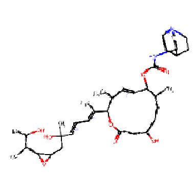 CCC(O)C(C)C1OC1CC(C)(O)/C=C/C=C(\C)C1OC(=O)CC(O)CCC(C)C(OC(=O)NC2CN3CCC2CC3)/C=C/C1C